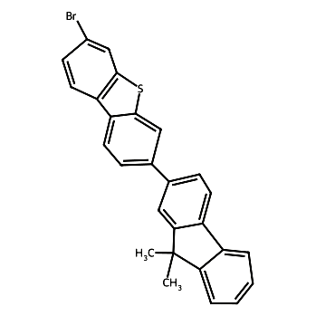 CC1(C)c2ccccc2-c2ccc(-c3ccc4c(c3)sc3cc(Br)ccc34)cc21